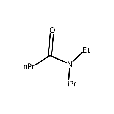 [CH2]CCC(=O)N(CC)C(C)C